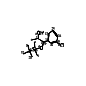 CC(O)[C@H](O[Si](C)(C)C(C)(C)C)c1cccc(Cl)c1